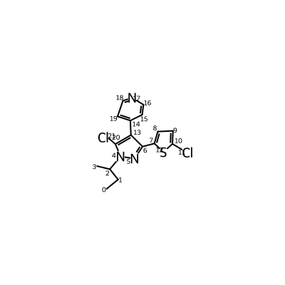 CCC(C)n1nc(-c2ccc(Cl)s2)c(-c2ccncc2)c1Cl